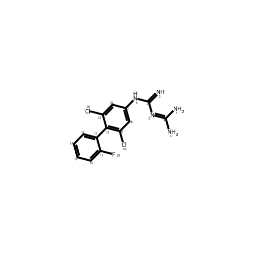 N=C(N=C(N)N)Nc1cc(Cl)c(-c2ccccc2F)c(Cl)c1